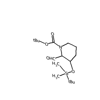 CC(C)(C)OC(=O)N1CCCC(O[Si](C)(C)C(C)(C)C)C1C=O